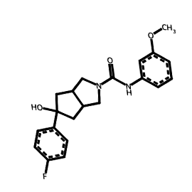 COc1cccc(NC(=O)N2CC3CC(O)(c4ccc(F)cc4)CC3C2)c1